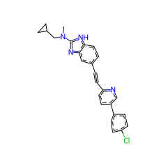 CN(CC1CC1)c1nc2cc(C#Cc3ccc(-c4ccc(Cl)cc4)cn3)ccc2[nH]1